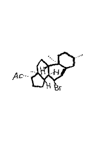 CC(=O)[C@H]1CC[C@H]2[C@@H]3[C@H](Br)C=C4C[C@@H](C)CC[C@]4(C)[C@H]3CC[C@]12C